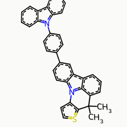 CC1(C)c2sccc2-n2c3ccc(-c4ccc(-n5c6ccccc6c6ccccc65)cc4)cc3c3cccc1c32